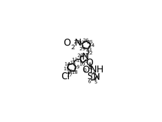 O=C(Nc1nccs1)Oc1cc(Cc2ccc(Cl)cc2)cn1Cc1cccc([N+](=O)[O-])c1